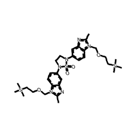 Cc1nc2cc(N3CCN(c4ccc5c(c4)nc(C)n5COCC[Si](C)(C)C)S3(=O)=O)ccc2n1COCC[Si](C)(C)C